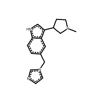 CN1CCC(c2c[nH]c3ccc(Cn4ccnc4)cc23)C1